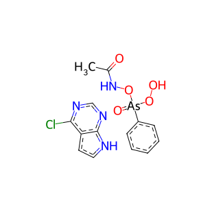 CC(=O)NO[As](=O)(OO)c1ccccc1.Clc1ncnc2[nH]ccc12